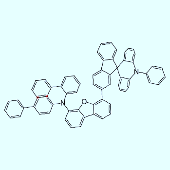 c1ccc(-c2ccc(N(c3ccccc3-c3ccccc3)c3cccc4c3oc3c(-c5ccc6c(c5)C5(c7ccccc7-6)c6ccccc6N(c6ccccc6)c6ccccc65)cccc34)cc2)cc1